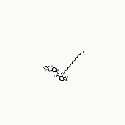 Br.CCCCCCCCCCCCCCOc1c(Cl)cccc1C(=O)Nc1cccc(CN2CSC=C2C)c1